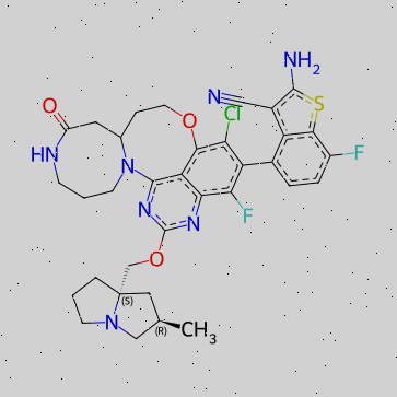 C[C@H]1CN2CCC[C@@]2(COc2nc3c4c(c(Cl)c(-c5ccc(F)c6sc(N)c(C#N)c56)c(F)c4n2)OCCC2CC(=O)NCCCN32)C1